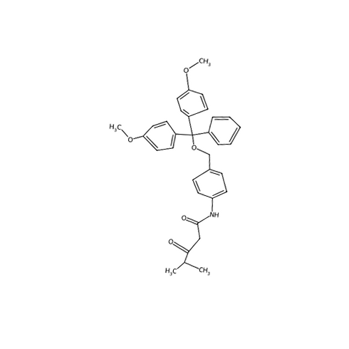 COc1ccc(C(OCc2ccc(NC(=O)CC(=O)C(C)C)cc2)(c2ccccc2)c2ccc(OC)cc2)cc1